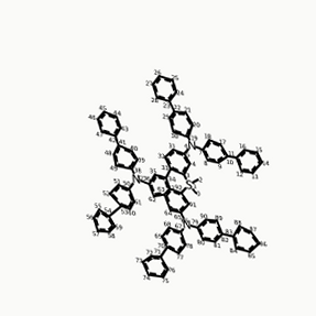 CS1(C)c2cc(N(c3ccc(-c4ccccc4)cc3)c3ccc(-c4ccccc4)cc3)ccc2-c2cc(N(c3ccc(-c4ccccc4)cc3)c3ccc(-c4ccccc4)cc3)cc3cc(N(c4ccc(-c5ccccc5)cc4)c4ccc(-c5ccccc5)cc4)cc1c23